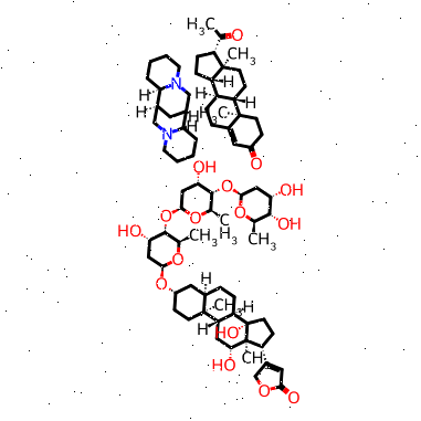 C1CCN2C[C@@H]3C[C@@H](CN4CCCC[C@@H]34)[C@H]2C1.CC(=O)[C@H]1CC[C@H]2[C@@H]3CCC4=CC(=O)CC[C@]4(C)[C@H]3CC[C@]12C.C[C@H]1O[C@@H](O[C@H]2[C@@H](O)C[C@H](O[C@H]3[C@@H](O)C[C@H](O[C@H]4CC[C@@]5(C)[C@H](CC[C@@H]6[C@@H]5C[C@@H](O)[C@]5(C)[C@@H](C7=CC(=O)OC7)CC[C@]65O)C4)O[C@@H]3C)O[C@@H]2C)C[C@H](O)[C@@H]1O